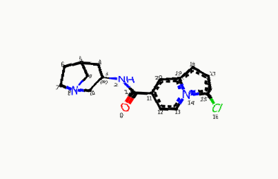 O=C(N[C@@H]1CC2CCN(C2)C1)c1ccn2c(Cl)ccc2c1